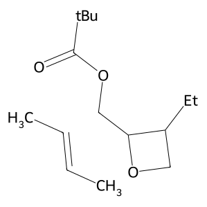 CC=CC.CCC1COC1COC(=O)C(C)(C)C